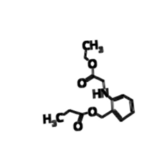 CCOC(=O)CNc1ccccc1COC(=O)CC